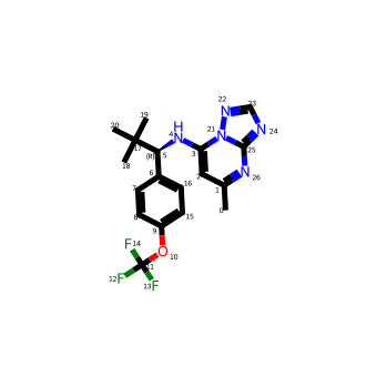 Cc1cc(N[C@@H](c2ccc(OC(F)(F)F)cc2)C(C)(C)C)n2ncnc2n1